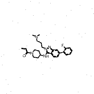 C=CC(=O)N1CCC(Nc2c3ccc(-c4ccccc4F)cc3nn2CCCN(C)C)CC1